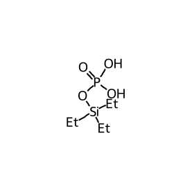 CC[Si](CC)(CC)OP(=O)(O)O